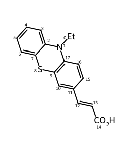 CCN1c2ccccc2Sc2cc(/C=C/C(=O)O)ccc21